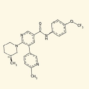 Cc1ccc(-c2cc(C(=O)Nc3ccc(OC(F)(F)F)cc3)cnc2N2CCC[C@H](C)C2)cn1